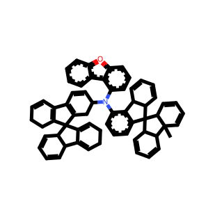 CC12C=CC=CC1C1(c3cccc(N(c4cccc5oc6ccccc6c45)C4C=CC5=C(C4)C4(C6=CCCC=C6C6C=CC=CC64)C4=C5C=CCC4)c3C3C=CC=CC31)C1C=CC=CC12